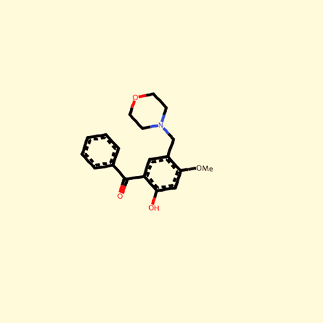 COc1cc(O)c(C(=O)c2ccccc2)cc1CN1CCOCC1